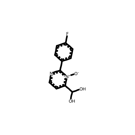 [O-][n+]1c(C(O)O)ccnc1-c1ccc(F)cc1